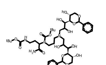 CC(C)(C)OC(=O)NCCC(C(N)=O)N(CCCN(CC(O)C(O)[C@@H]1OC(c2ccccc2)OC[C@H]1O)CC(O)C(O)[C@@H]1OC(c2ccccc2)OC[C@H]1O)C(=O)OC(C)(C)C